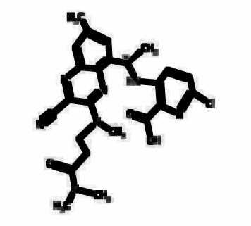 Cc1cc([C@@H](C)Nc2ccc(Cl)nc2C(=O)O)c2nc(N(C)CCC(=O)N(C)C)c(C#N)nc2c1